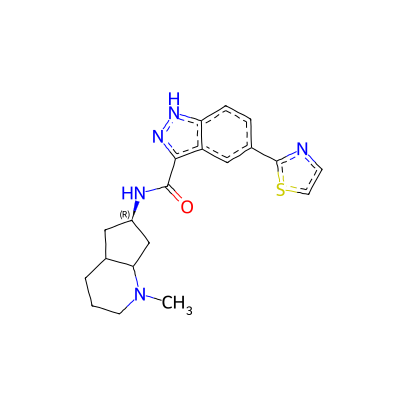 CN1CCCC2C[C@@H](NC(=O)c3n[nH]c4ccc(-c5nccs5)cc34)CC21